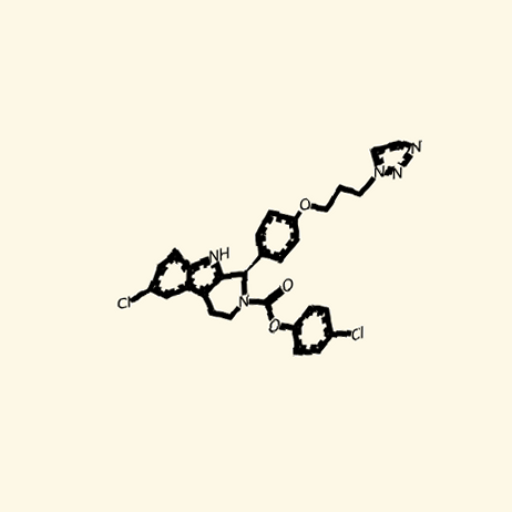 O=C(Oc1ccc(Cl)cc1)N1CCc2c([nH]c3ccc(Cl)cc23)[C@H]1c1ccc(OCCCn2ccnn2)cc1